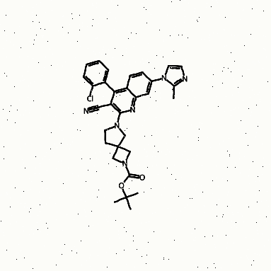 Cc1nccn1-c1ccc2c(-c3ccccc3Cl)c(C#N)c(N3CCC4(CN(C(=O)OC(C)(C)C)C4)C3)nc2c1